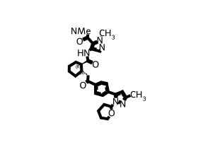 CNC(=O)c1c(NC(=O)[C@@H]2CCCC[C@H]2CC(=O)c2ccc(-c3cc(C)nn3C3CCCCO3)cc2)cnn1C